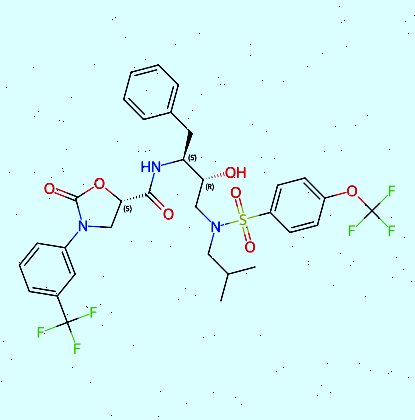 CC(C)CN(C[C@@H](O)[C@H](Cc1ccccc1)NC(=O)[C@@H]1CN(c2cccc(C(F)(F)F)c2)C(=O)O1)S(=O)(=O)c1ccc(OC(F)(F)F)cc1